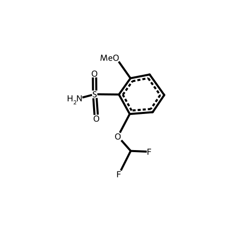 COc1cccc(OC(F)F)c1S(N)(=O)=O